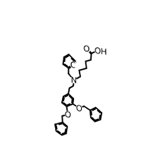 O=C(O)CCCCCN(CCc1ccc(OCc2ccccc2)c(OCc2ccccc2)c1)Cc1ccccc1